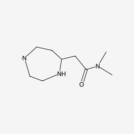 CN(C)C(=O)CC1CC[N]CCN1